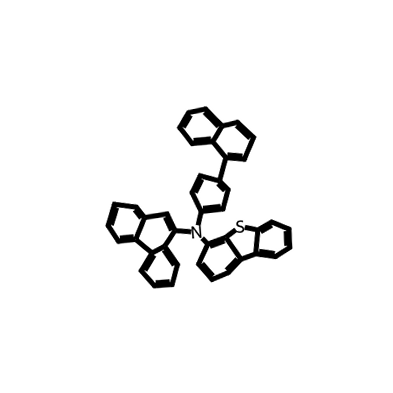 c1ccc2c(-c3ccc(N(c4cc5ccccc5c5ccccc45)c4cccc5c4sc4ccccc45)cc3)cccc2c1